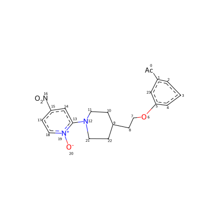 CC(=O)c1cccc(OCCC2CCN(c3cc([N+](=O)[O-])cc[n+]3[O-])CC2)c1